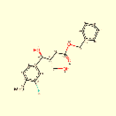 COc1ccc([C@@H](O)[C@@H](CO)CC(=O)OCc2ccccc2)cc1F